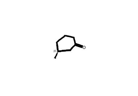 C[C@H]1CCCC(=O)C1